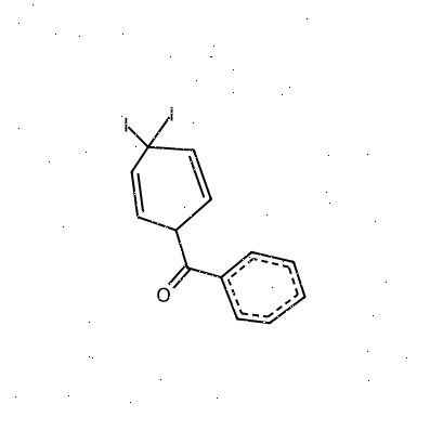 O=C(c1ccccc1)C1C=CC(I)(I)C=C1